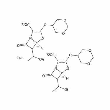 CC(O)C1C(=O)N2C(C(=O)[O-])=C(OC3COCOC3)S[C@@H]12.CC(O)C1C(=O)N2C(C(=O)[O-])=C(OC3COCOC3)S[C@@H]12.[Ca+2]